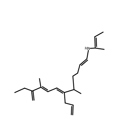 C=CC/C(=C\C=C(/C)C(=C)CC)C(C)CC/C=C/N/C(C)=C/C